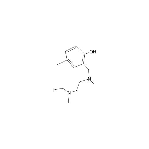 Cc1ccc(O)c(CN(C)CCN(C)CI)c1